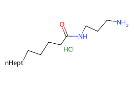 CCCCCCCCCCCC(=O)NCCCN.Cl